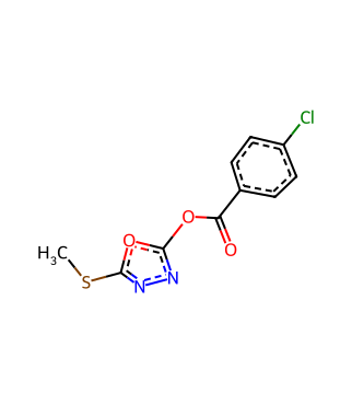 CSc1nnc(OC(=O)c2ccc(Cl)cc2)o1